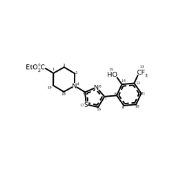 CCOC(=O)C1CCN(c2nc(-c3cccc(C(F)(F)F)c3O)cs2)CC1